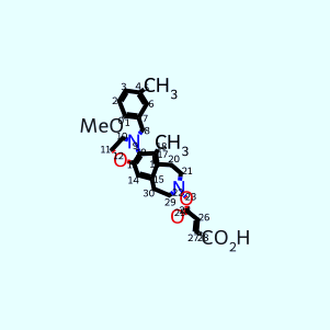 COc1ccc(C)cc1CN1CCOc2cc3c(c(C)c21)CCN(OC(=O)/C=C/C(=O)O)CC3